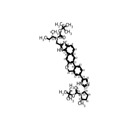 CC[C@H](C)N(Cc1nc2ccc3cc4c(cc3c2[nH]1)OCc1cc(-c2cnc([C@@H]3CC[C@H](C)N3C(=O)OC(C)(C)C)[nH]2)ccc1-4)C(=O)OC(C)(C)C